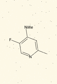 CNc1cc(C)ncc1F